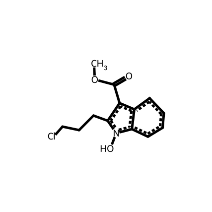 COC(=O)c1c(CCCCl)n(O)c2ccccc12